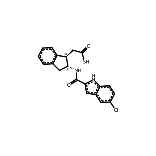 O=C(S)C[C@@H]1c2ccccc2C[C@H]1NC(=O)c1cc2cc(Cl)ccc2[nH]1